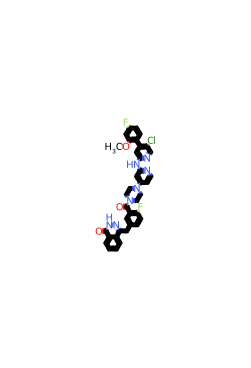 COc1cc(F)ccc1-c1cc(Nc2cc(N3CCN(C(=O)c4cc(Cc5n[nH]c(=O)c6ccccc56)ccc4F)CC3)ccn2)ncc1Cl